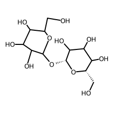 OCC1OC(O[C@H]2O[C@@H](CO)C(O)C(O)C2O)C(O)C(O)C1O